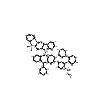 CC1(C)c2ccccc2-c2cc3c4ccccc4n(-c4c5ccccc5c(-c5ccccc5)c5cc(-c6ccc(NC=O)c(-c7ccccc7-c7ccccc7)c6)ccc45)c3cc21